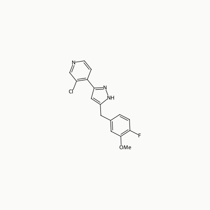 COc1cc(Cc2cc(-c3ccncc3Cl)n[nH]2)ccc1F